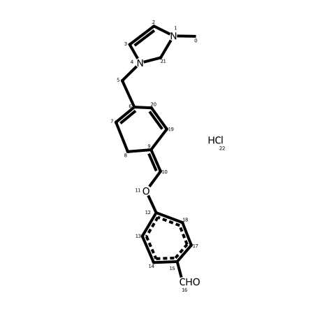 CN1C=CN(CC2=CCC(=COc3ccc(C=O)cc3)C=C2)C1.Cl